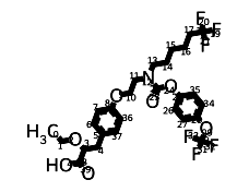 CCOC(Cc1ccc(OCCN(CCCCCC(F)(F)F)C(=O)Oc2ccc(OC(F)(F)F)cc2)cc1)C(=O)O